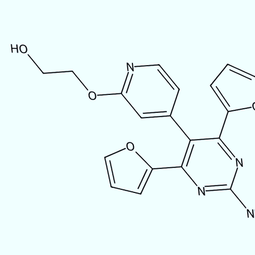 Nc1nc(-c2ccco2)c(-c2ccnc(OCCO)c2)c(-c2ccco2)n1